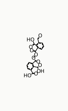 O=Cc1cccc(C(=O)OOC(=O)c2cccc(C(=O)O)c2C(=O)O)c1C(=O)O